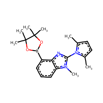 Cc1ccc(C)n1-c1nc2c(B3OC(C)(C)C(C)(C)O3)cccc2n1C